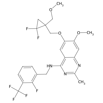 COCC1(COc2cc3c(NCc4cccc(C(F)(F)F)c4F)nc(C)nc3cc2OC)CC1(F)F